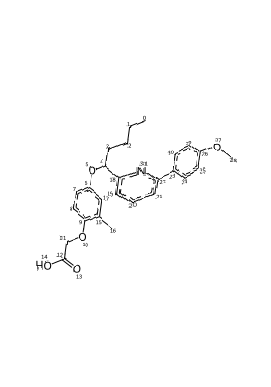 CCCCC(Oc1ccc(OCC(=O)O)c(C)c1)c1cccc(-c2ccc(OC)cc2)n1